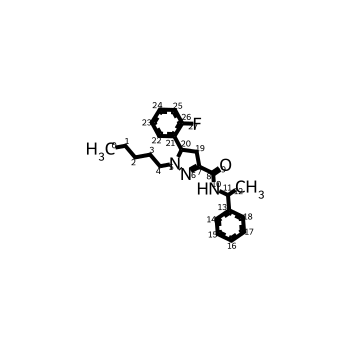 CCCCCN1N=C(C(=O)NC(C)c2ccccc2)CC1c1ccccc1F